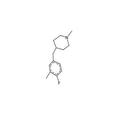 Cc1cc(CC2CCN(C)CC2)ccc1F